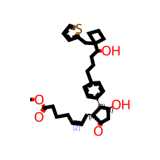 COC(=O)CCC/C=C\C[C@H]1C(=O)C[C@@H](O)[C@H]1c1ccc(CCCC(O)C2(Cc3cccs3)CCC2)cc1